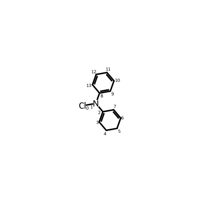 ClN(C1=CCCC=C1)c1ccccc1